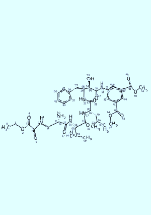 CCOC(=O)C(=O)NC[C@H](N)C(=O)N[C@H](C(=O)N[C@@H](CC(C)C)C(=O)N[C@@H](Cc1ccccc1)[C@@H](O)C(=O)Nc1cc(C(=O)OC)cc(C(=O)OC)c1)C(C)C